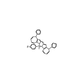 CC1=CC2=C(C=CC=CC2c2ccccc2)C1[Si](C)(c1ccc(F)cc1)C1C(C)=CC2=C1C=CC=CC2c1ccccc1